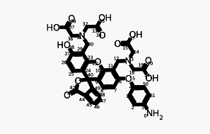 Nc1ccc(Oc2ccc3c(c2CN(CC(=O)O)CC(=O)O)Oc2c(ccc(O)c2CN(CC(=O)O)CC(=O)O)C32OC(=O)c3ccccc32)cc1